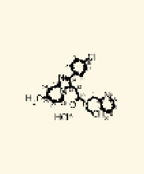 CCN(Cc1ccccn1)C(=O)Cc1c(-c2ccc(Cl)cc2)nc2cc(C)ccn12.Cl